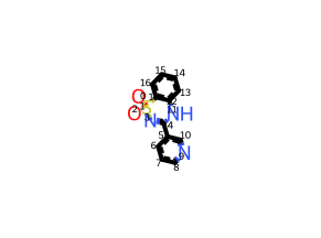 O=S1(=O)N=C(c2cccnc2)Nc2ccccc21